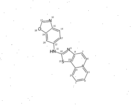 c1ccc2c(c1)ccc1nc(Nc3ccc4ncoc4c3)sc12